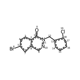 O=c1c2ccc(Br)cc2cnn1Cc1ccccc1Cl